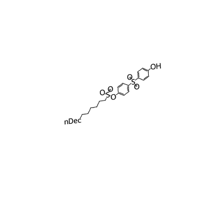 CCCCCCCCCCCCCCCCS(=O)(=O)Oc1ccc(S(=O)(=O)c2ccc(O)cc2)cc1